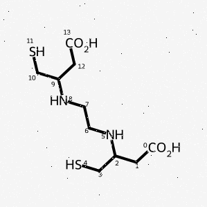 O=C(O)CC(CS)NCCNC(CS)CC(=O)O